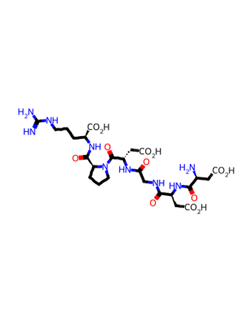 N=C(N)NCCC[C@H](NC(=O)[C@@H]1CCCN1C(=O)[C@H](CC(=O)O)NC(=O)CNC(=O)[C@H](CC(=O)O)NC(=O)[C@@H](N)CC(=O)O)C(=O)O